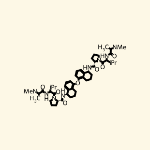 CNC(C)C(=O)NC(C(=O)N1CCC[C@H]1C(=O)N[C@@H]1CCCc2c(Oc3cccc4c3CCC[C@H]4NC(=O)[C@@H]3CCCN3C(=O)C(NC(=O)C(C)NC)C(C)C)cccc21)C(C)C